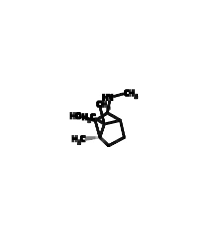 CNC1C2CC[C@@](C)(C1O)C2(C)C